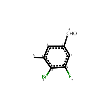 Cc1cc(C=O)cc(F)c1Br